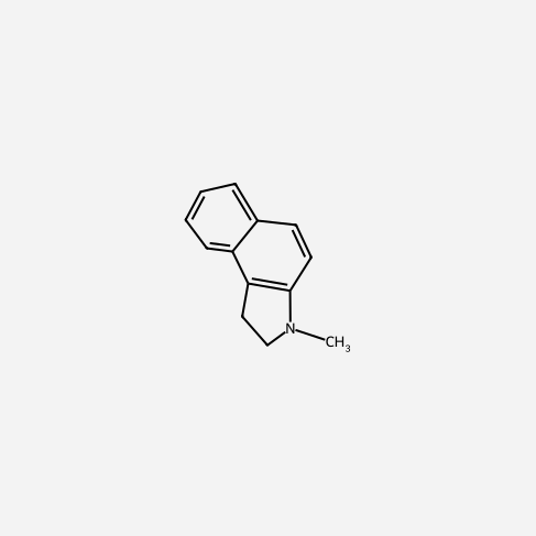 CN1CCc2c1ccc1ccccc21